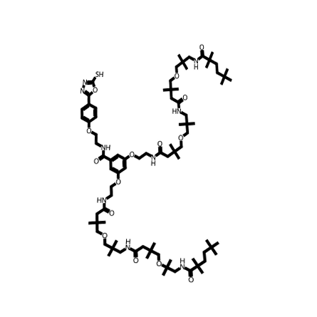 CC(C)(C)CCC(C)(C)C(=O)NCC(C)(C)COCC(C)(C)CC(=O)NCC(C)(C)COCC(C)(C)CC(=O)NCCOc1cc(OCCNC(=O)CC(C)(C)COCC(C)(C)CNC(=O)CC(C)(C)COC(C)(C)CNC(=O)C(C)(C)CCC(C)(C)C)cc(C(=O)NCCOc2ccc(-c3nnc(S)o3)cc2)c1